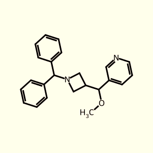 COC(c1cccnc1)C1CN(C(c2ccccc2)c2ccccc2)C1